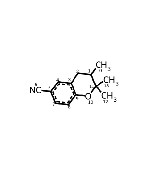 CC1Cc2cc(C#N)ccc2OC1(C)C